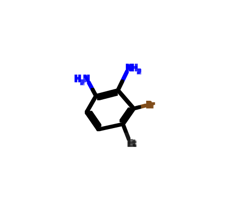 CCc1ccc(N)c(N)c1Br